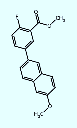 COC(=O)c1cc(-c2ccc3cc(OC)ccc3c2)ccc1F